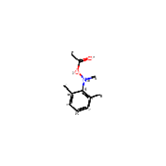 CC(=O)ON(C)c1c(C)cccc1C